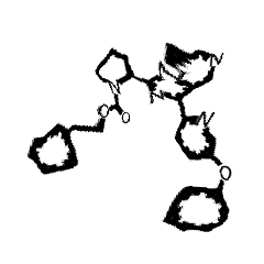 O=C(OCc1ccccc1)N1CCC[C@H]1c1nc(-c2ccc(Oc3ccccc3)cn2)c2cnccn12